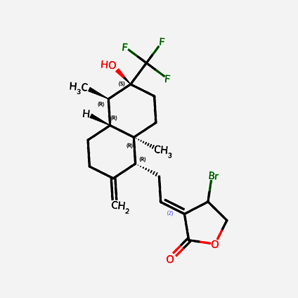 C=C1CC[C@@H]2[C@@H](C)[C@](O)(C(F)(F)F)CC[C@@]2(C)[C@@H]1C/C=C1/C(=O)OCC1Br